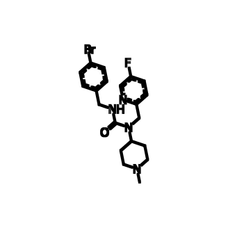 CN1CCC(N(Cc2ccc(F)cn2)C(=O)NCc2ccc(Br)cc2)CC1